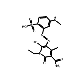 CCn1c(O)c(N=Nc2cc(NC)ccc2S(=O)(=O)O)c(C)c(C(N)=O)c1=O